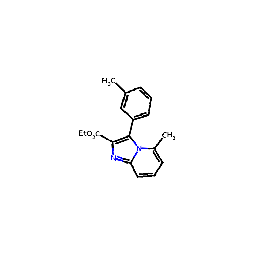 CCOC(=O)c1nc2cccc(C)n2c1-c1cccc(C)c1